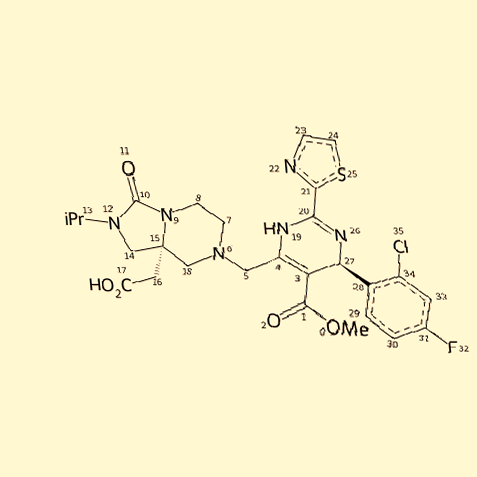 COC(=O)C1=C(CN2CCN3C(=O)N(C(C)C)C[C@]3(CC(=O)O)C2)NC(c2nccs2)=N[C@H]1c1ccc(F)cc1Cl